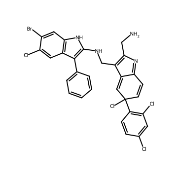 NCC1=C(CNc2[nH]c3cc(Br)c(Cl)cc3c2-c2ccccc2)C2=CC(Cl)(c3ccc(Cl)cc3Cl)C=CC2=N1